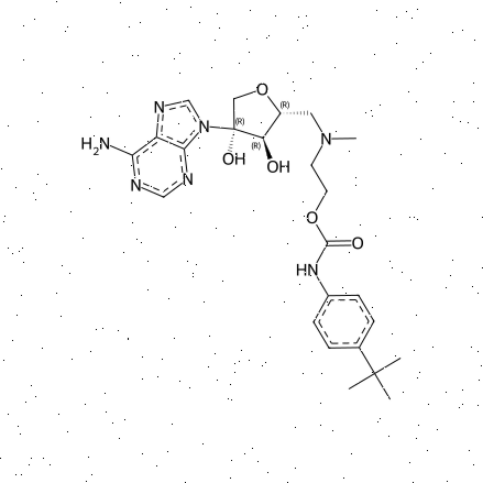 CN(CCOC(=O)Nc1ccc(C(C)(C)C)cc1)C[C@H]1OC[C@](O)(n2cnc3c(N)ncnc32)[C@@H]1O